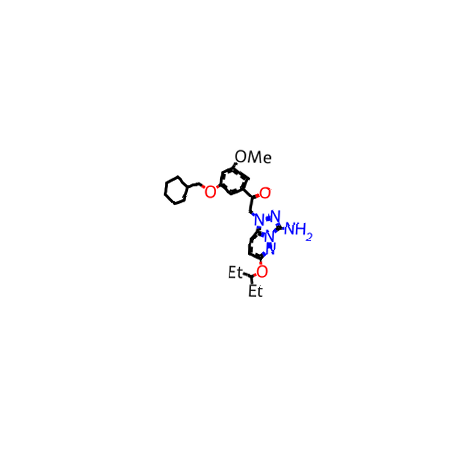 CCC(CC)Oc1ccc2n(n1)c(N)n[n+]2CC(=O)c1cc(OC)cc(OCC2CCCCC2)c1